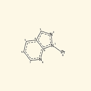 CC(C)n1ncc2c[c]cnc21